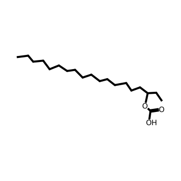 CCCCCCCCCCCCCCCCC(CC)OC(=O)O